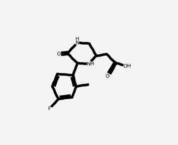 Cc1cc(F)ccc1C1NC(CC(=O)O)CNC1=O